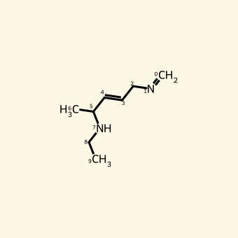 C=NCC=CC(C)NCC